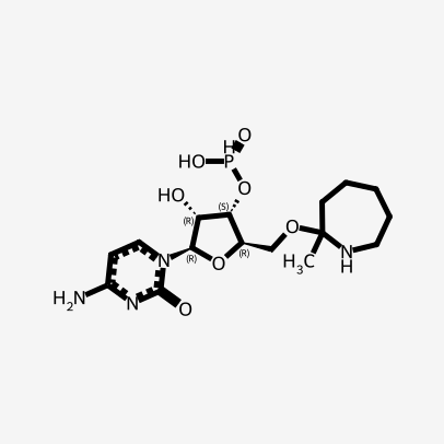 CC1(OC[C@H]2O[C@@H](n3ccc(N)nc3=O)[C@H](O)[C@@H]2O[PH](=O)O)CCCCCN1